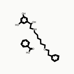 O=C(O)c1ccccc1.Oc1cc(O)cc(C(O)CNCCCCCCOCCc2ccccc2)c1